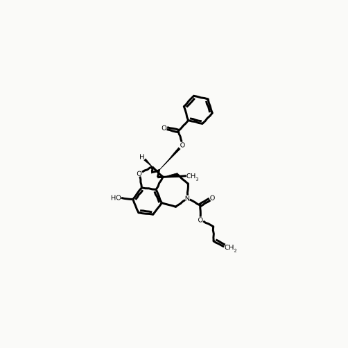 C=CCOC(=O)N1CC[C@]23c4c(ccc(O)c4O[C@H]2C[C@@H](OC(=O)c2ccccc2)C3C)C1